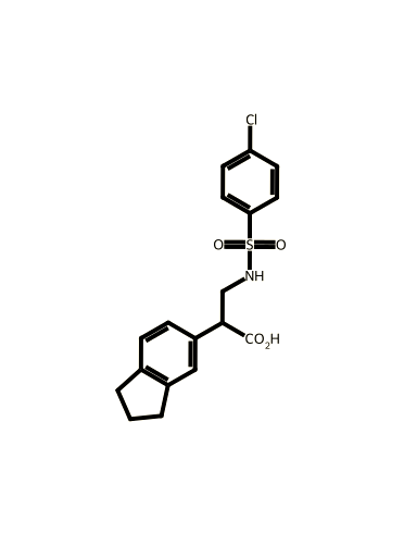 O=C(O)C(CNS(=O)(=O)c1ccc(Cl)cc1)c1ccc2c(c1)CCC2